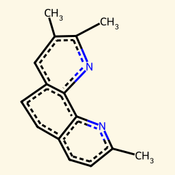 Cc1ccc2ccc3cc(C)c(C)nc3c2n1